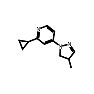 CC1C=NN(c2ccnc(C3CC3)c2)C1